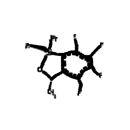 CC(C)[Si]1(C(C)C)O[C@@H](C)c2c(F)c(F)c(F)c(F)c21